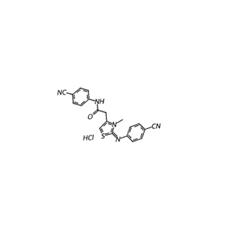 Cl.Cn1c(CC(=O)Nc2ccc(C#N)cc2)cs/c1=N/c1ccc(C#N)cc1